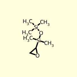 C[Si](C)(C)O[Si](C)(C)C1CO1